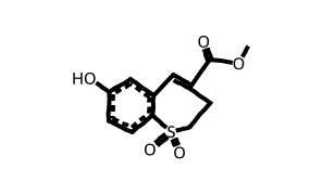 COC(=O)C1=Cc2cc(O)ccc2S(=O)(=O)CC1